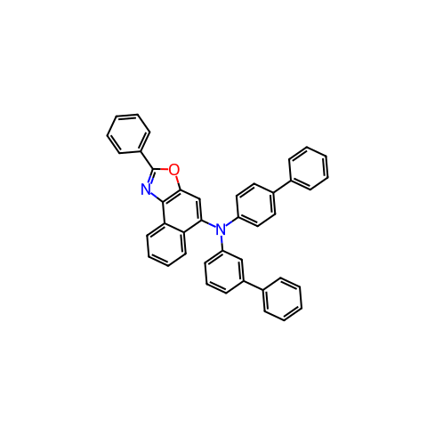 c1ccc(-c2ccc(N(c3cccc(-c4ccccc4)c3)c3cc4oc(-c5ccccc5)nc4c4ccccc34)cc2)cc1